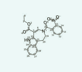 CCOC(=O)C1=CN(C(=O)c2ccccc2[N+](=O)[O-])CCc2c1[nH]c1ccccc21